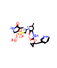 CC(C)CC(NC(=O)OC1(Cc2cccnc2)CC1)C(=O)N[C@@H](CC1CCNC1=O)CS(=O)(=O)OO